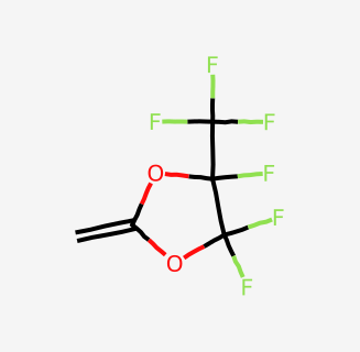 C=C1OC(F)(F)C(F)(C(F)(F)F)O1